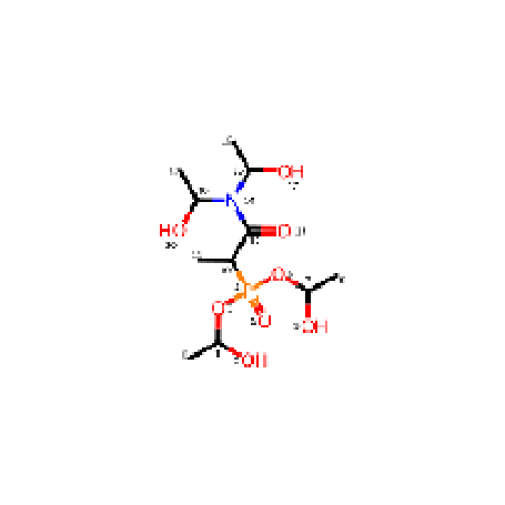 CC(O)OP(=O)(OC(C)O)C(C)C(=O)N(C(C)O)C(C)O